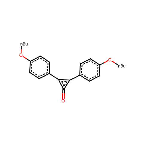 CCCCOc1ccc(-c2c(-c3ccc(OCCCC)cc3)c2=O)cc1